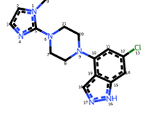 Cn1ccnc1N1CCN(c2cc(Cl)cc3[nH]ncc23)CC1